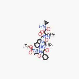 CCCC(NC(=O)[C@@H]1CC2CCCCC2N1C(=O)[C@@H](NC(=O)C(NC(=O)C(C)NC(=O)OC(C)C)C1CCCCC1)C(C)C)C(=O)C(=O)NC1CC1